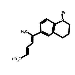 CC(=CC=CC(=O)O)c1ccc2c(c1)CCCN2C(C)C